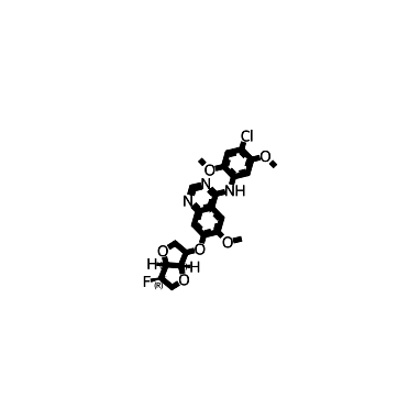 COc1cc(Nc2ncnc3cc(OC4CO[C@H]5[C@H](F)CO[C@@H]45)c(OC)cc23)c(OC)cc1Cl